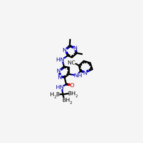 BC(B)(B)NC(=O)c1nnc(Nc2cc(C)nc(C)n2)cc1Nc1ncccc1C#N